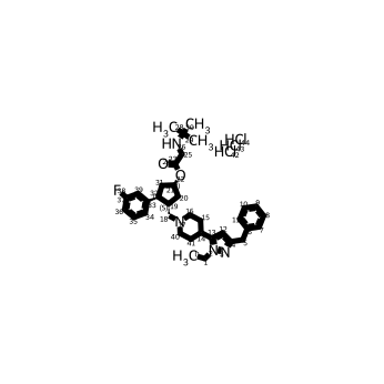 CCn1nc(Cc2ccccc2)cc1C1CCN(C[C@H]2C[C@H](OC(=O)CNC(C)(C)C)C[C@@H]2c2cccc(F)c2)CC1.Cl.Cl.Cl